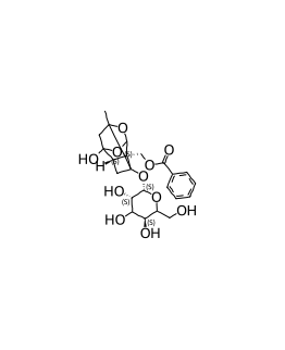 CC12CC3(O)OC(O1)[C@]1(COC(=O)c4ccccc4)[C@@H]3CC21O[C@@H]1OC(CO)[C@@H](O)C(O)[C@@H]1O